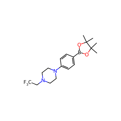 CC1(C)OB(c2ccc(N3CCN(CC(F)(F)F)CC3)cc2)OC1(C)C